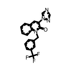 O=c1c(-n2cncn2)cc2ccccc2n1Cc1cccc(C(F)(F)F)c1